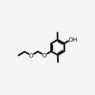 CCOCOc1cc(C)c(O)cc1C